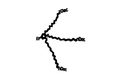 CCCCCCCCCCCCCCCCCCCCCCCSc1cc(CC)cc(SCCCCCCCCCCCCCCCCCCCCCCC)c1SCCCCCCCCCCCCCCCCCCCCCCC